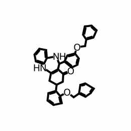 O=C1CC(c2ccccc2OCc2ccccc2)CC2=C1C(c1cccc(OCc3ccccc3)c1)Nc1ccccc1N2